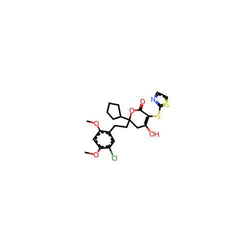 COc1cc(OC)c(CCC2(C3CCCC3)CC(O)=C(Sc3nccs3)C(=O)O2)cc1Cl